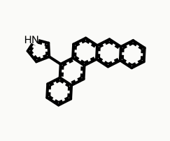 c1ccc2cc3c(ccc4c(-c5cc[nH]c5)c5ccccc5cc43)cc2c1